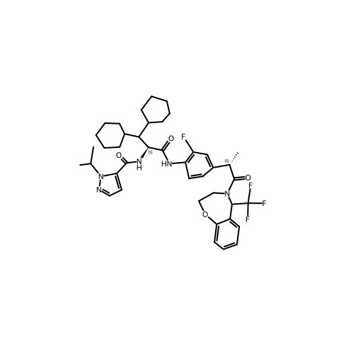 CC(C)n1nccc1C(=O)N[C@H](C(=O)Nc1ccc([C@H](C)C(=O)N2CCOc3ccccc3C2C(F)(F)F)cc1F)C(C1CCCCC1)C1CCCCC1